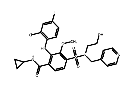 COc1c(S(=O)(=O)N(CCO)Cc2ccncc2)ccc(C(=O)NC2CC2)c1Nc1ccc(I)cc1Cl